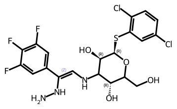 NN/C(=C\NC1[C@@H](O)C(CO)O[C@H](Sc2cc(Cl)ccc2Cl)[C@@H]1O)c1cc(F)c(F)c(F)c1